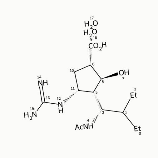 CCC(CC)[C@H](NC(C)=O)[C@H]1[C@H](O)[C@@H](C(=O)O)C[C@H]1NC(=N)N.O.O